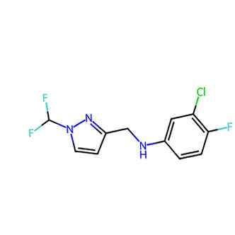 Fc1ccc(NCc2ccn(C(F)F)n2)cc1Cl